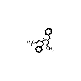 CCCC(Cc1ccccc1)SC(CCC)Cc1ccccc1